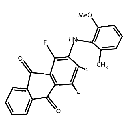 COc1cccc(C)c1Nc1c(F)c(F)c2c(c1F)C(=O)c1ccccc1C2=O